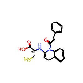 O=C(O)[C@@H](CS)NC1=CCc2ccccc2N1C(=O)Cc1ccccc1